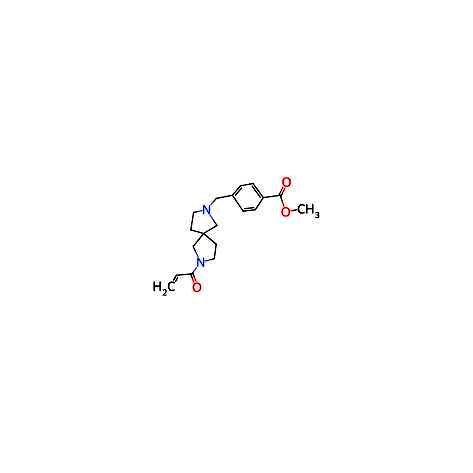 C=CC(=O)N1CCC2(CCN(Cc3ccc(C(=O)OC)cc3)C2)C1